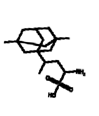 CC(CC(N)S(=O)(=O)O)C12CC3CC(C)(CC(C)(C3)C1)C2